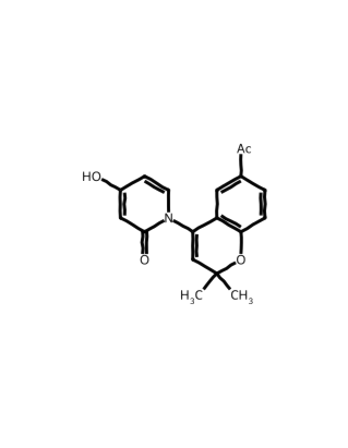 CC(=O)c1ccc2c(c1)C(n1ccc(O)cc1=O)=CC(C)(C)O2